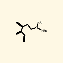 C=CC(=C)C(=C)CCN(CCCC)CCCC